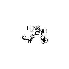 CN(CCOC(C)(C)C)Cc1cc(-c2cc(C(N)=O)c3[nH]cc(C4CCS(=O)(=O)CC4)c3c2)cs1